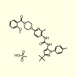 COc1ccccc1C(=O)N1CCN(c2ccc(NC(=O)Nc3cc(C(C)(C)C)nn3-c3ccc(C)cc3)c(C)n2)CC1.CS(=O)(=O)O